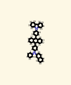 c1ccc(N(c2ccc(-c3c4ccccc4c(-c4ccc(-n5c6ccccc6c6ccccc65)cc4)c4ccccc34)cc2)c2ccc3ccccc3c2)cc1